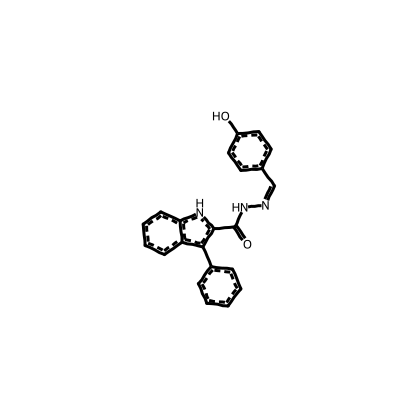 O=C(N/N=C\c1ccc(O)cc1)c1[nH]c2ccccc2c1-c1ccccc1